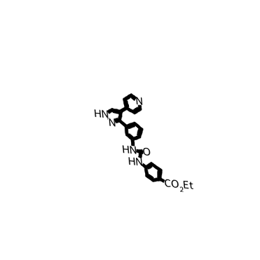 CCOC(=O)c1ccc(NC(=O)Nc2cccc(-c3n[nH]cc3-c3ccncc3)c2)cc1